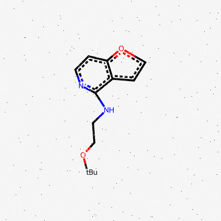 CC(C)(C)OCCNc1nccc2occc12